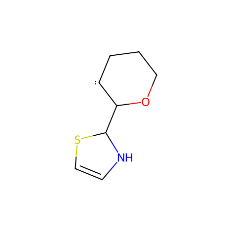 [C]1CCCOC1C1NC=CS1